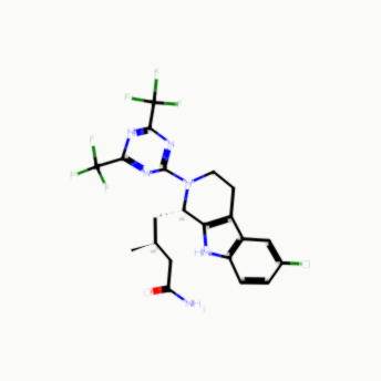 C[C@H](CC(N)=O)C[C@H]1c2[nH]c3ccc(Cl)cc3c2CCN1c1nc(C(F)(F)F)nc(C(F)(F)F)n1